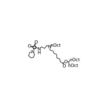 CCCCCCCCC(CCCCCCCC)OC(=O)CCCCCCCN(CCCCCCCC)CCCNc1c(N2CCCCC2)c(=O)c1=O